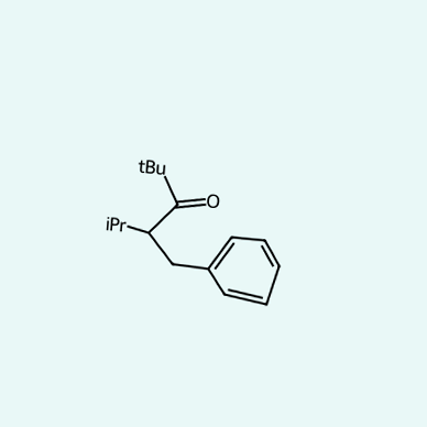 CC(C)C(Cc1ccccc1)C(=O)C(C)(C)C